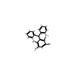 Fc1cc(F)c(F)c(C(c2ccccc2)c2ccccc2)c1F